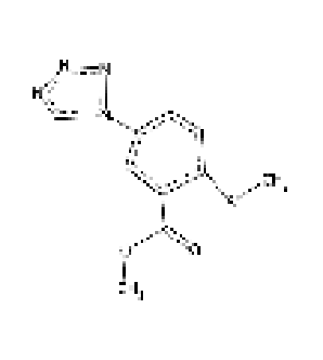 COC(=O)c1cc(-n2cnnn2)ccc1SC